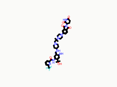 CC(C)(O)C1=CC(=N)/C(=C\NC2CCN(CC(C)(C)N3CCN(c4ccc5c(c4)C(=O)N(C4CCC(=O)NC4=O)C5=O)CC3)CC2)C=C1NC(=O)c1cccc(C(F)(F)F)n1